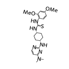 COc1ccc(NC(=S)N[C@H]2CC[C@@H](Nc3nccc(N(C)C)n3)CC2)c(OC)c1